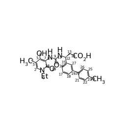 CCn1cc(C)c(O)c(NC(=O)N[C@@H](CC(=O)O)c2cccc(-c3ccc(C)cc3)c2)c1=O